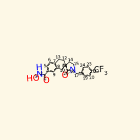 O=C(NO)c1ccc2c(c1)C[C@@]1(CC2)CCN(Cc2ccc(C(F)(F)F)cc2)C1=O